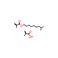 C=C(C)C(=O)O.C=C(C)C(=O)OCCCCCCCC(C)C